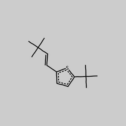 CC(C)(C)/C=C/c1ccc(C(C)(C)C)s1